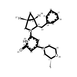 C[C@@H]1CN(c2cc(N3C[C@@H]4C[C@@H]4[C@H]3Cc3ccccc3)[nH]c(=O)c2)CCO1